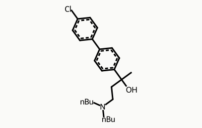 CCCCN(CCCC)CCC(C)(O)c1ccc(-c2ccc(Cl)cc2)cc1